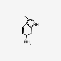 Cc1c[nH]c2c1C=CC(N)C2